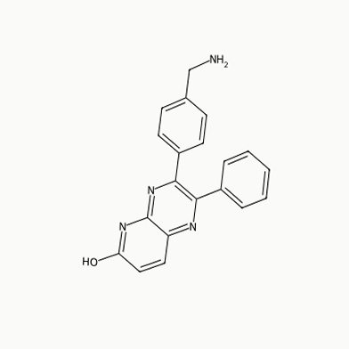 NCc1ccc(-c2nc3nc(O)ccc3nc2-c2ccccc2)cc1